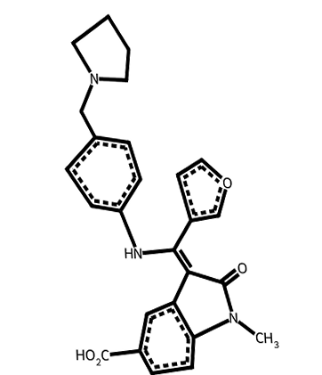 CN1C(=O)C(=C(Nc2ccc(CN3CCCC3)cc2)c2ccoc2)c2cc(C(=O)O)ccc21